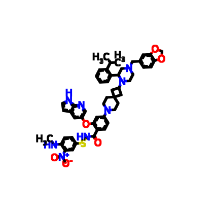 CNc1ccc(SNC(=O)c2ccc(N3CCC4(CC3)CC(N3CCN(Cc5ccc6c(c5)OCO6)CC3c3ccccc3C(C)C)C4)cc2Oc2cnc3[nH]ccc3c2)cc1[N+](=O)[O-]